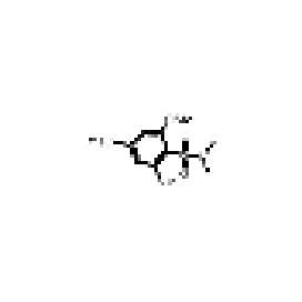 CCCc1cc(OC)cc(OC)c1S(=O)(=O)N(C)C